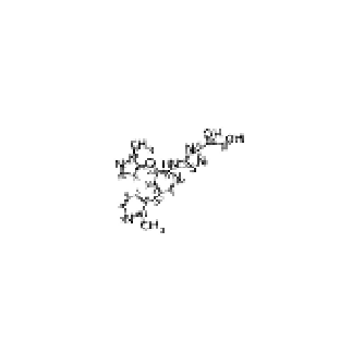 Cc1ncccc1Sc1cnc(Nc2nc(C(O)CO)ns2)c(Oc2ccnn2C)c1